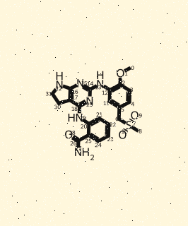 COc1ccc(CS(C)(=O)=O)cc1Nc1nc2c(c(Nc3ccccc3C(N)=O)n1)CCN2